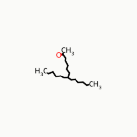 CCCCCCC(CCCCCC)CCCCCC(C)=O